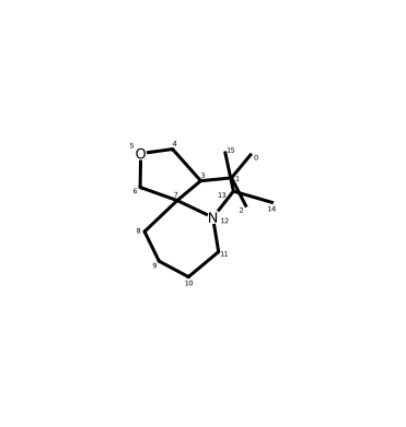 CC(C)C1COCC12CCCCN2C(C)C